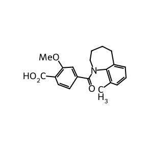 COc1cc(C(=O)N2CCCCc3cccc(C)c32)ccc1C(=O)O